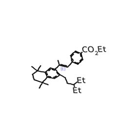 CCOC(=O)c1ccc(/C=C(\C)c2cc3c(cc2CCC(CC)CC)C(C)(C)CCC3(C)C)cc1